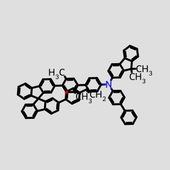 C=Cc1ccc(-c2ccc3c(c2)C2(c4ccccc4-3)c3ccccc3-c3ccc(-c4cc(C)c(-c5ccc(N(c6ccc(-c7ccccc7)cc6)c6ccc7c(c6)C(C)(C)c6ccccc6-7)cc5)cc4C)cc32)cc1